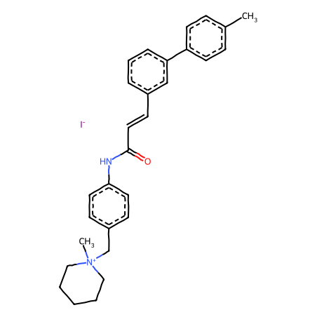 Cc1ccc(-c2cccc(C=CC(=O)Nc3ccc(C[N+]4(C)CCCCC4)cc3)c2)cc1.[I-]